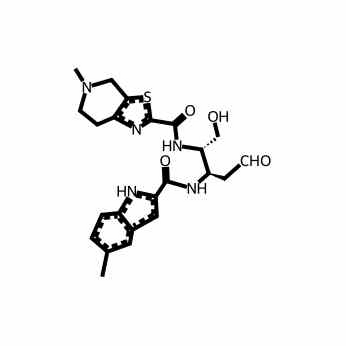 Cc1ccc2[nH]c(C(=O)N[C@H](CC=O)[C@@H](CO)NC(=O)c3nc4c(s3)CN(C)CC4)cc2c1